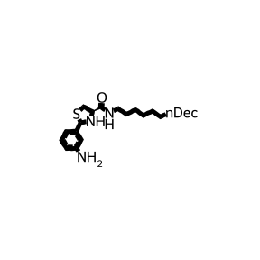 CCCCCCCCCCCCCCCCNC(=O)[C@@H]1CSC(c2cccc(N)c2)N1